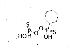 O[PH](=S)OOP(O)(=S)C1CCCCC1